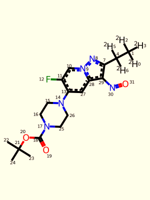 [2H]C([2H])([2H])C([2H])([2H])c1nn2cc(F)c(N3CCN(C(=O)OC(C)(C)C)CC3)cc2c1N=O